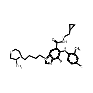 Cc1cc(Cl)ccc1Nc1c(C(=O)NOCC2CC2)cc2c(ncn2CCCCN2CCOC[C@@H]2C)c1F